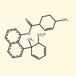 CC1C=CC(C(=O)Oc2cccc3cccc(C4(C)C=CC=CC4C(=O)O)c23)CC1